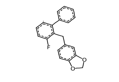 Fc1cc[c]c(-c2ccccc2)c1Cc1ccc2c(c1)OCO2